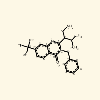 CC(C)C(CN)c1nc2cc(C(F)(F)F)ccc2c(=O)n1Cc1ccccc1